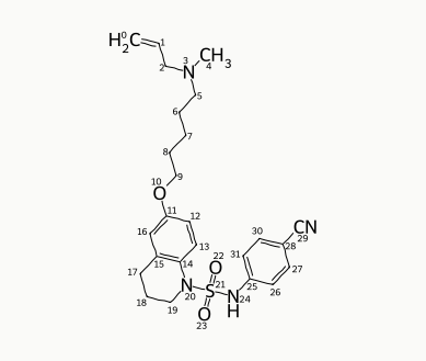 C=CCN(C)CCCCCOc1ccc2c(c1)CCCN2S(=O)(=O)Nc1ccc(C#N)cc1